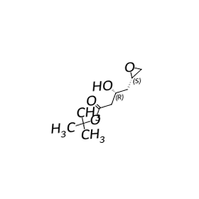 CC(C)(C)OC(=O)C[C@H](O)C[C@H]1CO1